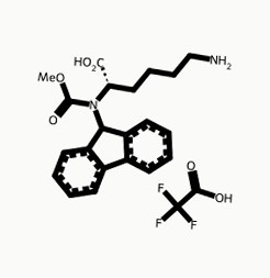 COC(=O)N(C1c2ccccc2-c2ccccc21)[C@@H](CCCCN)C(=O)O.O=C(O)C(F)(F)F